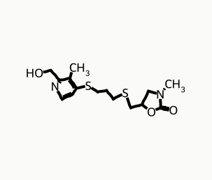 Cc1c(SCCCSCC2CN(C)C(=O)O2)ccnc1CO